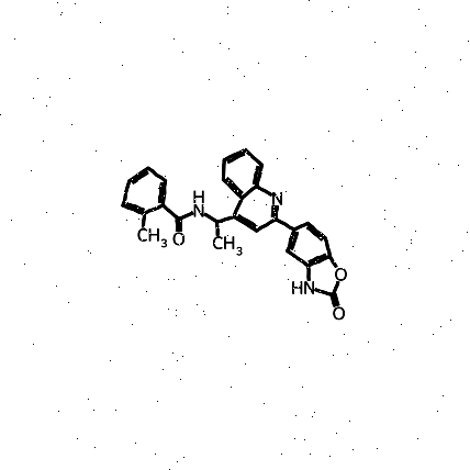 Cc1ccccc1C(=O)NC(C)c1cc(-c2ccc3oc(=O)[nH]c3c2)nc2ccccc12